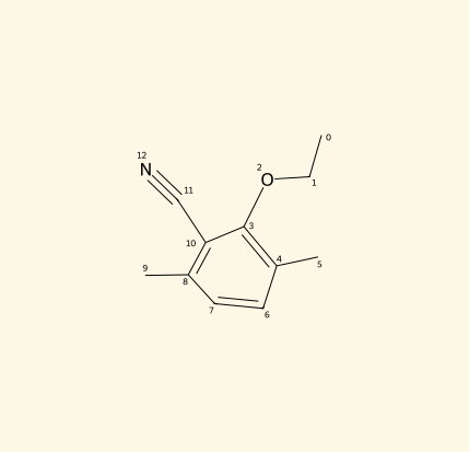 CCOc1c(C)ccc(C)c1C#N